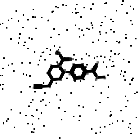 C#CCC1CCN(C(=O)O)[C@H](c2ccc(C(=O)OC)cc2)C1